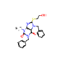 Cn1c(=O)n(Cc2ccccc2)c(=O)c2c1nc(SCCO)n2Cc1ccccc1